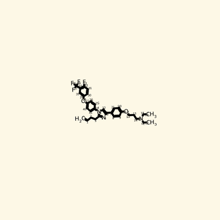 C=CCCc1nc(-c2ccc(OCCCN(CC)CC)cc2)cn1-c1ccc(Oc2ccc(F)c(C(F)(F)F)c2)cc1